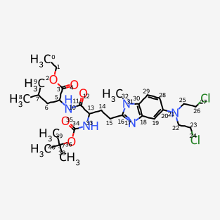 CCOC(=O)C(CC(C)C)NC(=O)C(CCc1nc2cc(N(CCCl)CCCl)ccc2n1C)NC(=O)OC(C)(C)C